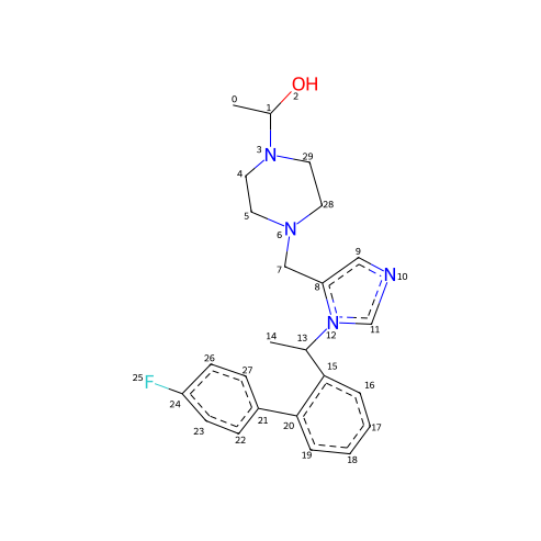 CC(O)N1CCN(Cc2cncn2C(C)c2ccccc2-c2ccc(F)cc2)CC1